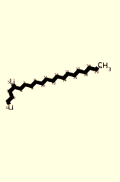 [Li][CH2]CC[CH]([Li])CCCCCCCCCCCCCCCC